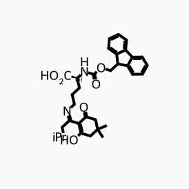 CC(C)CC(=NCCC[C@H](NC(=O)OCC1c2ccccc2-c2ccccc21)C(=O)O)C1=C(O)CC(C)(C)CC1=O